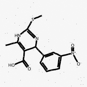 CSC1=NC(c2cccc([N+](=O)[O-])c2)C(C(=O)O)=C(C)N1